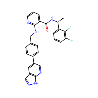 C[C@H](NC(=O)c1cccnc1NCc1ccc(-c2cnc3[nH]ncc3c2)cc1)c1cccc(F)c1F